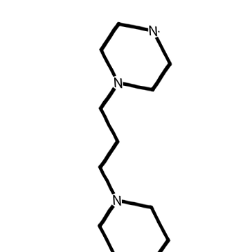 C1CCN(CCCN2CC[N]CC2)CC1